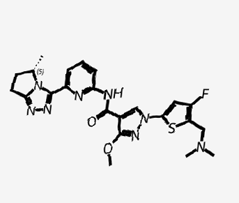 COc1nn(-c2cc(F)c(CN(C)C)s2)cc1C(=O)Nc1cccc(-c2nnc3n2[C@@H](C)CC3)n1